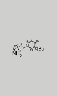 CC(C)(CN)CCc1cccc(C(C)(C)C)c1